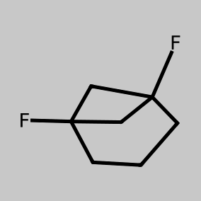 FC12CCCC(F)(C1)C2